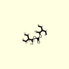 CCC(CC)C(I)OC(=O)OC(I)C(CC)CC